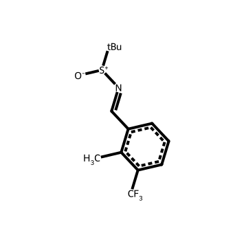 Cc1c(C=N[S+]([O-])C(C)(C)C)cccc1C(F)(F)F